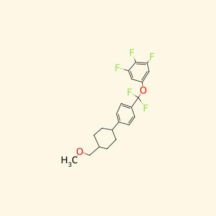 COCC1CCC(c2ccc(C(F)(F)Oc3cc(F)c(F)c(F)c3)cc2)CC1